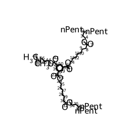 CCCCCC(CCCCC)CCOC(=O)CCCCCCCOC(=O)c1cc(C(=O)OCCCCCCCC(=O)OCCC(CCCCC)CCCCC)cc(C(=O)OCCCN(C)C)c1